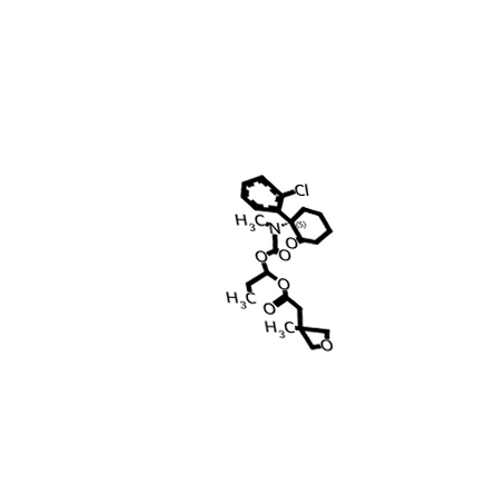 CCC(OC(=O)CC1(C)COC1)OC(=O)N(C)[C@]1(c2ccccc2Cl)CCCCC1=O